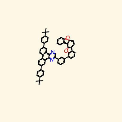 CC(C)(C)c1ccc(-c2ccc3c4ccc(-c5ccc(C(C)(C)C)cc5)cc4c4nc(-c5cccc(-c6cccc7c6oc6c7ccc7oc8ccccc8c76)c5)cnc4c3c2)cc1